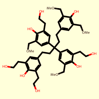 COCc1cc(C(CCc2cc(CCO)c(O)c(CCO)c2)(CCc2cc(COC)c(O)c(COC)c2)c2cc(CCO)c(O)c(COC)c2)cc(CCO)c1O